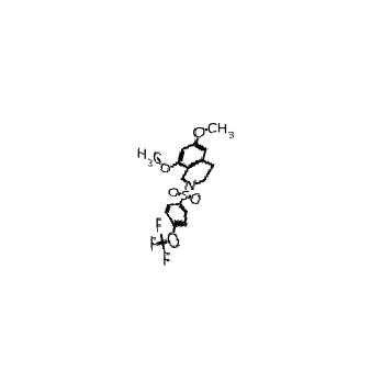 COc1cc2c(c(OC)c1)CN(S(=O)(=O)c1ccc(OC(F)(F)F)cc1)CC2